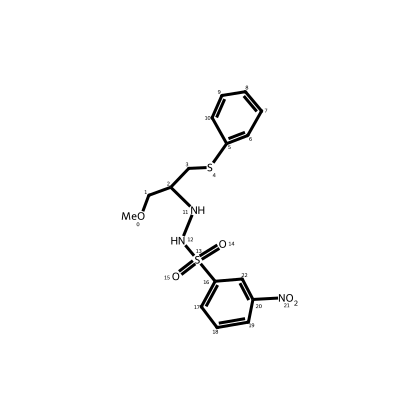 COCC(CSc1ccccc1)NNS(=O)(=O)c1cccc([N+](=O)[O-])c1